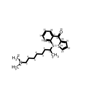 CC(CCCCCCN(C)C)Sc1ncccc1C(=O)c1cccs1